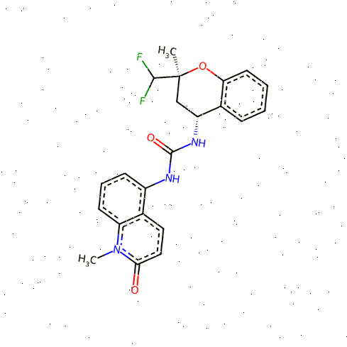 Cn1c(=O)ccc2c(NC(=O)N[C@@H]3C[C@@](C)(C(F)F)Oc4ccccc43)cccc21